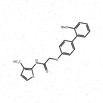 COc1ccccc1-c1ccc(OCC(=O)Nc2sccc2C(=O)O)cc1